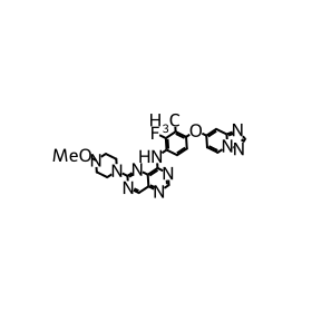 CON1CCN(c2ncc3ncnc(Nc4ccc(Oc5ccn6ncnc6c5)c(C)c4F)c3n2)CC1